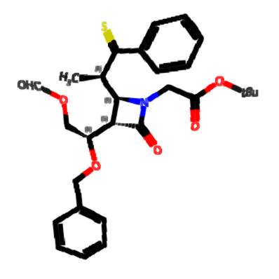 C[C@@H](C(=S)c1ccccc1)[C@@H]1[C@@H]([C@H](COC=O)OCc2ccccc2)C(=O)N1CC(=O)OC(C)(C)C